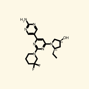 CC[C@@H]1C[C@H](O)CN1c1cc(-c2cnc(N)nc2)nc(N2CCCC(F)(F)C2)n1